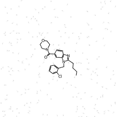 CCCCc1nc2ccc(C(=O)N3CCOCC3)cc2n1Cc1ccccc1Cl